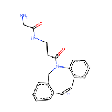 NCC(=O)NCCC(=O)N1Cc2ccccc2/C=C\c2ccccc21